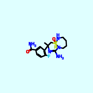 CC1(c2cc(C(N)=O)ccc2F)C[SH]2(=O)NCCCCN2C(N)=N1